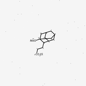 CCOC(=O)CCC1C2CC3CC(C2)CC1(OC)C3